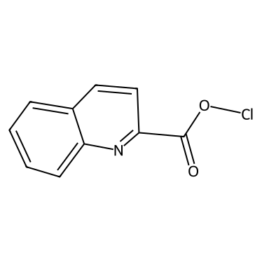 O=C(OCl)c1ccc2ccccc2n1